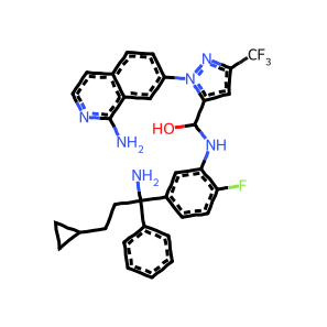 Nc1nccc2ccc(-n3nc(C(F)(F)F)cc3C(O)Nc3cc(C(N)(CCC4CC4)c4ccccc4)ccc3F)cc12